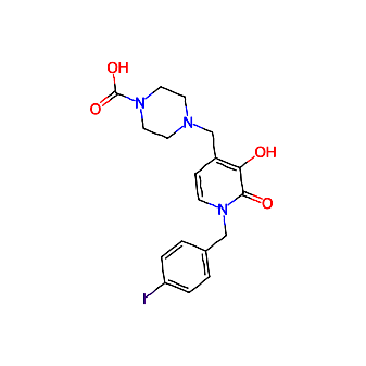 O=C(O)N1CCN(Cc2ccn(Cc3ccc(I)cc3)c(=O)c2O)CC1